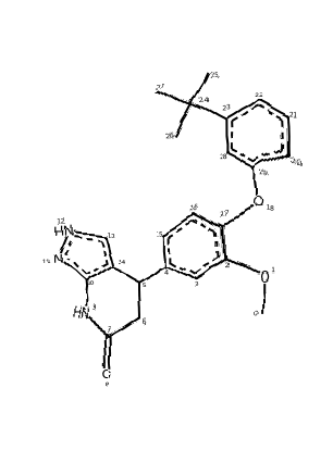 COc1cc(C2CC(=O)Nc3n[nH]cc32)ccc1Oc1cccc(C(C)(C)C)c1